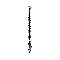 C#CCOCCOCCOCCOCCOCCOCCOCCOCCOCCOCCOCCOCCOCCC(=O)O